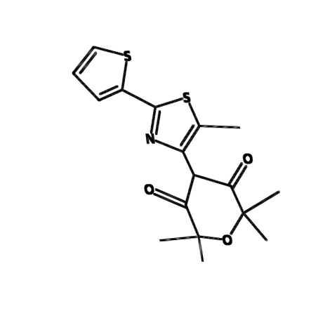 Cc1sc(-c2cccs2)nc1C1C(=O)C(C)(C)OC(C)(C)C1=O